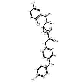 CC(c1cc(Cl)ccc1Cl)N1CC2CC1CN2C(=O)Cc1ccc(Oc2ccc(F)cc2)cc1